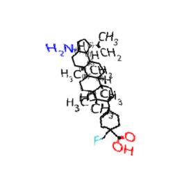 C=C(C)[C@H]1CC[C@]2(N)CC[C@]3(C)[C@H](CC[C@@H]4C5(C)CC=C(C6=CCC(CF)(C(=O)O)CC6)C(C)(C)[C@@H]5CC[C@]43C)[C@@H]12